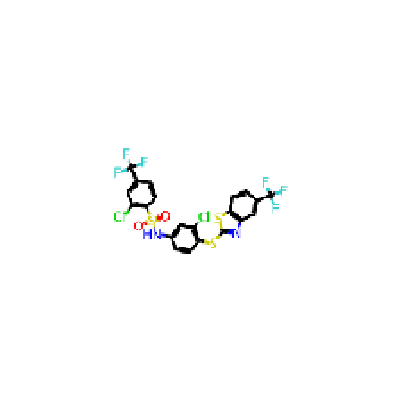 O=S(=O)(Nc1ccc(Sc2nc3cc(C(F)(F)F)ccc3s2)c(Cl)c1)c1ccc(C(F)(F)F)cc1Cl